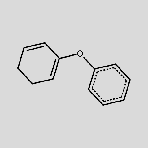 C1=CC(Oc2ccccc2)=CCC1